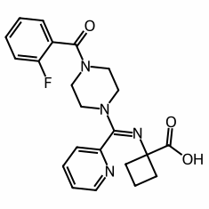 O=C(c1ccccc1F)N1CCN(C(=NC2(C(=O)O)CCC2)c2ccccn2)CC1